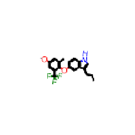 CCCc1c[nH]c2ccc(Oc3c(C)cc([O])cc3C(F)(F)F)cc12